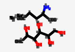 NC(CCC(=O)[O-])C(=O)[O-].O=CC(O)C(O)C(O)C(O)CO.[Na+].[Na+]